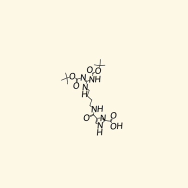 CC(C)(C)OC(=O)/N=C(\NCCCCNC(=O)c1c[nH]c(C(=O)O)n1)NC(=O)OC(C)(C)C